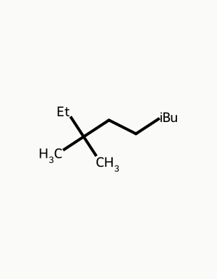 CCC(C)CCC(C)(C)CC